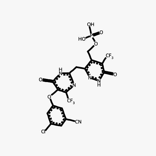 N#Cc1cc(Cl)cc(Oc2c(C(F)(F)F)nc(Cc3n[nH]c(=O)c(C(F)(F)F)c3COP(=O)(O)O)[nH]c2=O)c1